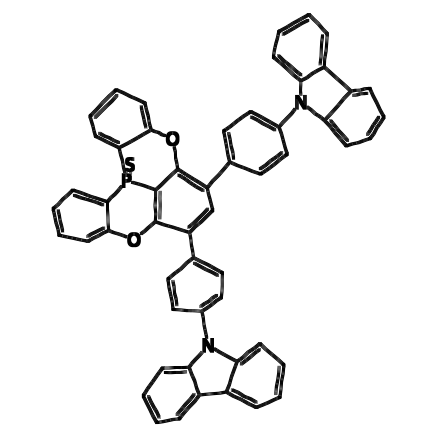 S=P12c3ccccc3Oc3c(-c4ccc(-n5c6ccccc6c6ccccc65)cc4)cc(-c4ccc(-n5c6ccccc6c6ccccc65)cc4)c(c31)Oc1ccccc12